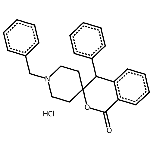 Cl.O=C1OC2(CCN(Cc3ccccc3)CC2)C(c2ccccc2)c2ccccc21